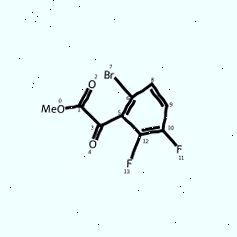 COC(=O)C(=O)c1c(Br)ccc(F)c1F